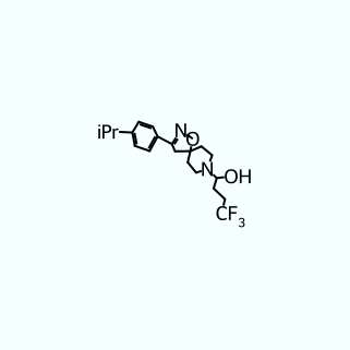 CC(C)c1ccc(C2=NOC3(CCN(C(O)CCC(F)(F)F)CC3)C2)cc1